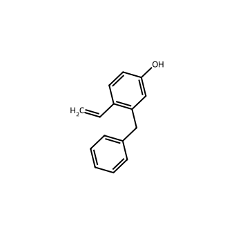 C=Cc1ccc(O)cc1Cc1ccccc1